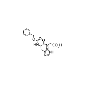 O=C(O)CNC(=O)C(Cc1c[nH]cn1)NC(=O)OCc1ccccc1